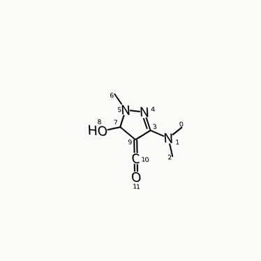 CN(C)C1=NN(C)C(O)C1=C=O